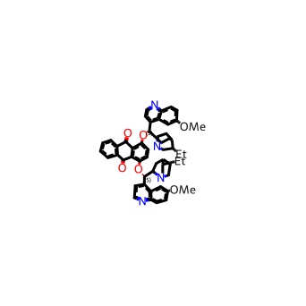 CCC1CN2CCC1CC2[C@@H](Oc1ccc(O[C@@H](c2ccnc3ccc(OC)cc23)C2CC3CCN2CC3CC)c2c1C(=O)c1ccccc1C2=O)c1ccnc2ccc(OC)cc12